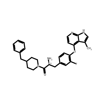 Cc1c[nH]c2nccc(Oc3ccc(C[C@H](N)C(=O)N4CCC(Cc5ccccc5)CC4)cc3F)c12